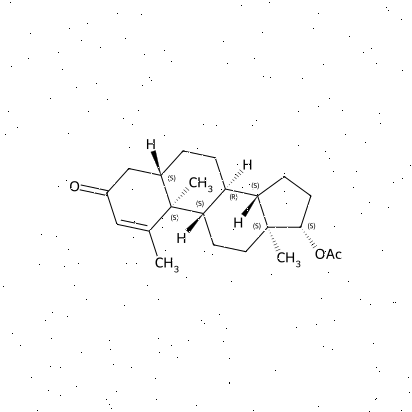 CC(=O)O[C@H]1CC[C@H]2[C@@H]3CC[C@H]4CC(=O)C=C(C)[C@]4(C)[C@H]3CC[C@]12C